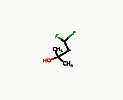 CC(C)(O)[CH]C(F)F